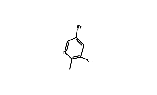 Cc1ncc(C(C)C)cc1C(F)(F)F